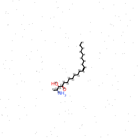 CCCCCCCC/C=C\CCCCCCCC(=O)C(O)C(C)N